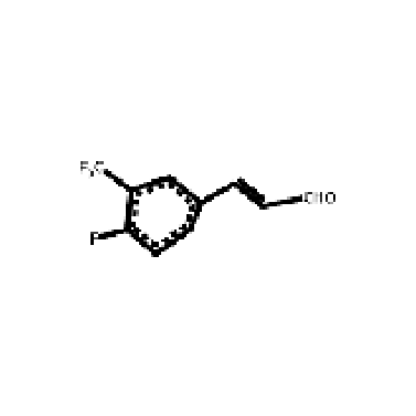 O=C/C=C/c1ccc(F)c(C(F)(F)F)c1